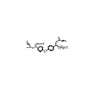 CC=CC(C)CC(CCCCC)c1ccc(Oc2ccc(C(CCCCC)CC(C)C=CC)cc2)cc1